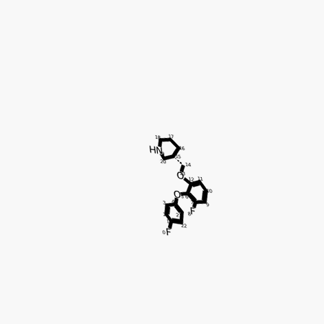 Fc1ccc(Oc2c(F)cccc2OC[C@H]2CCCNC2)cc1